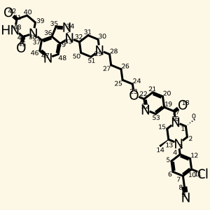 C[C@@H]1CN(c2ccc(C#N)c(Cl)c2)[C@@H](C)CN1C(=O)c1ccc(OCCCCCN2CCC(n3ncc4c(N5CCC(=O)NC5=O)cncc43)CC2)nc1